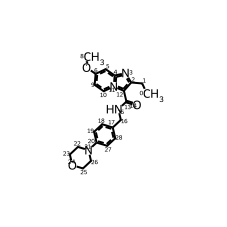 CCc1nc2cc(OC)ccn2c1C(=O)NCc1ccc(N2CCOCC2)cc1